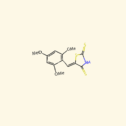 COc1cc(OC)c(C=C2SC(=S)NC2=S)c(OC)c1